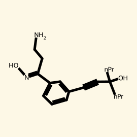 CCCC(O)(C#Cc1cccc(C(CCN)=NO)c1)CCC